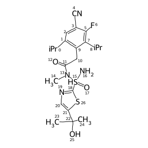 CC(C)c1cc(C#N)c(F)c(C(C)C)c1CC(=O)N(C)[SH](N)(=O)c1ncc(C(C)(C)O)s1